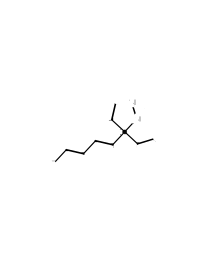 CCCCCC(CC)(CC)NN